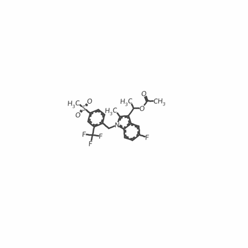 CC(=O)OC(C)c1c(C)n(Cc2ccc(S(C)(=O)=O)cc2C(F)(F)F)c2ccc(F)cc12